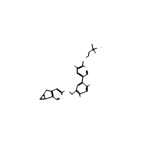 CC(C)(O)CCOc1ncc(-c2cc(COc3cc4c(cn3)C3CC3C4)c(F)cc2C(F)(F)F)cc1F